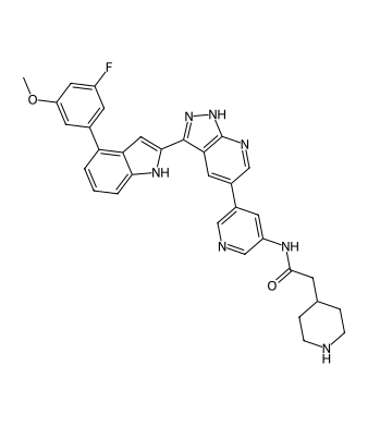 COc1cc(F)cc(-c2cccc3[nH]c(-c4n[nH]c5ncc(-c6cncc(NC(=O)CC7CCNCC7)c6)cc45)cc23)c1